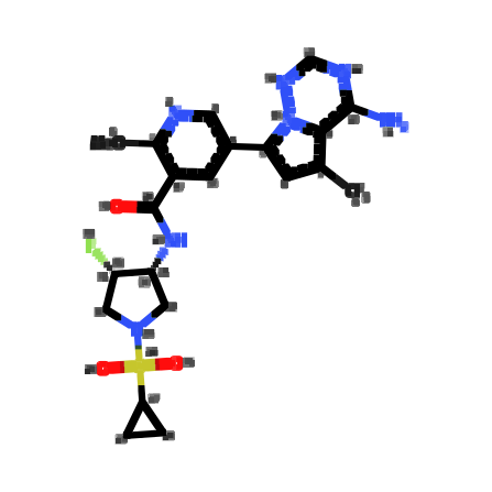 COc1ncc(-c2cc(C(F)(F)F)c3c(N)ncnn23)cc1C(=O)N[C@@H]1CN(S(=O)(=O)C2CC2)C[C@@H]1F